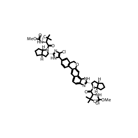 COC(=O)N[C@H](C(=O)N1[C@H](c2nc(Cl)c(-c3ccc4c(c3)COc3cc5c(ccc6nc([C@@H]7C[C@@H]8CCC[C@@H]8N7C(=O)[C@@H](NC(=O)OC)C(C)(C)C(F)(F)F)[nH]c65)cc3-4)[nH]2)C[C@@H]2CCC[C@@H]21)C(C)(C)C(F)(F)F